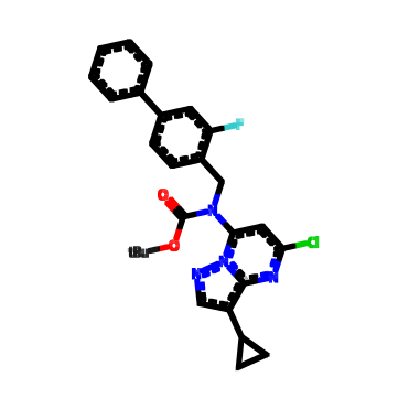 CC(C)(C)OC(=O)N(Cc1ccc(-c2ccccc2)cc1F)c1cc(Cl)nc2c(C3CC3)cnn12